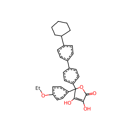 CCOc1ccc(C2(c3ccc(-c4ccc(C5CCCCC5)cc4)cc3)OC(=O)C(O)=C2O)cc1